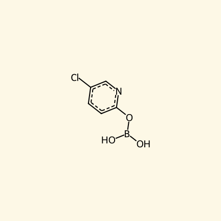 OB(O)Oc1ccc(Cl)cn1